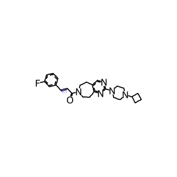 O=C(/C=C/c1cccc(F)c1)N1CCc2cnc(N3CCN(C4CCC4)CC3)nc2CC1